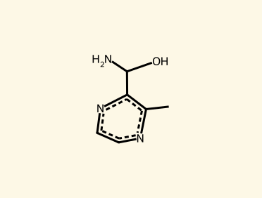 Cc1nccnc1C(N)O